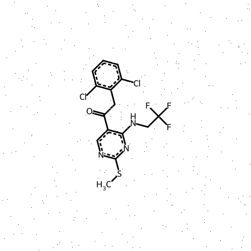 CSc1ncc(C(=O)Cc2c(Cl)cccc2Cl)c(NCC(F)(F)F)n1